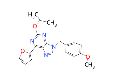 COc1ccc(Cn2cnc3c(-c4ccco4)nc(OC(C)C)nc32)cc1